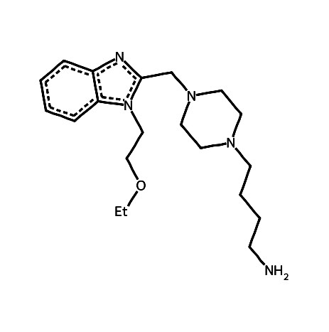 CCOCCn1c(CN2CCN(CCCCN)CC2)nc2ccccc21